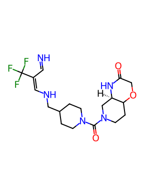 N=C/C(=C\NCC1CCN(C(=O)N2CCC3OCC(=O)N[C@@H]3C2)CC1)C(F)(F)F